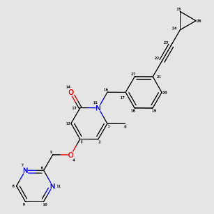 Cc1cc(OCc2ncccn2)cc(=O)n1Cc1cccc(C#CC2CC2)c1